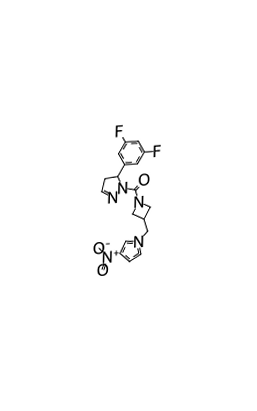 O=C(N1CC(Cn2ccc([N+](=O)[O-])c2)C1)N1N=CCC1c1cc(F)cc(F)c1